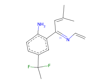 C=C/N=C(\C=C(C)C)c1cc(C(C)(F)F)ccc1N